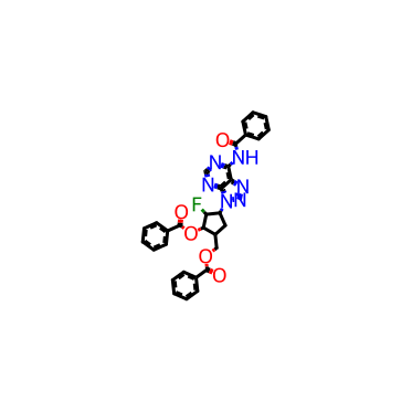 O=C(Nc1ncnc2c1nnn2C1CC(COC(=O)c2ccccc2)C(OC(=O)c2ccccc2)C1F)c1ccccc1